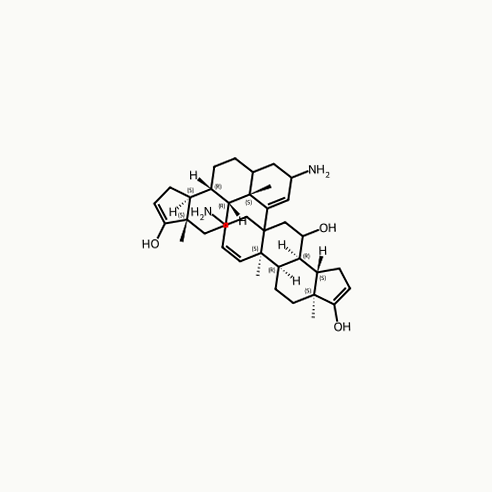 C[C@]12C(C34CC(N)C=C[C@]3(C)[C@@H]3CC[C@]5(C)C(O)=CC[C@H]5[C@@H]3C(O)C4)=CC(N)CC1CC[C@@H]1[C@H]2CC[C@]2(C)C(O)=CC[C@@H]12